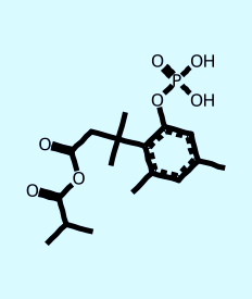 Cc1cc(C)c(C(C)(C)CC(=O)OC(=O)C(C)C)c(OP(=O)(O)O)c1